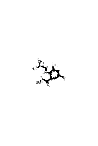 Cc1cc(Br)cc(C(=O)OC(C)(C)C)c1/N=C/N(C)C